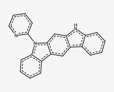 c1ccc(-n2c3ccccc3c3cc4c(cc32)[nH]c2ccccc24)nc1